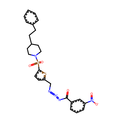 O=C(N=[N+]=NCc1ccc(S(=O)(=O)N2CCC(CCc3ccccc3)CC2)s1)c1cccc([N+](=O)[O-])c1